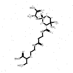 COC(=O)C(CC(=O)O)SCCNC(=O)CCNC(=O)[C@@H]1OP(=O)(N[C@@H](C)C(=O)OC)OCC1(C)C